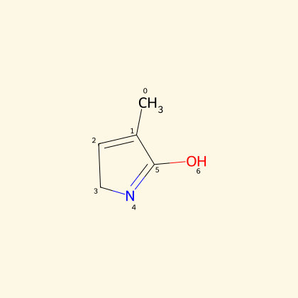 CC1=CCN=C1O